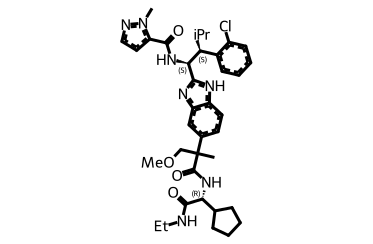 CCNC(=O)[C@H](NC(=O)C(C)(COC)c1ccc2[nH]c([C@@H](NC(=O)c3ccnn3C)[C@H](c3ccccc3Cl)C(C)C)nc2c1)C1CCCC1